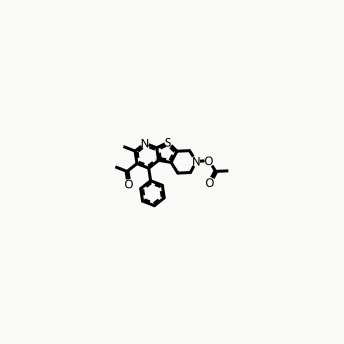 CC(=O)ON1CCc2c(sc3nc(C)c(C(C)=O)c(-c4ccccc4)c23)C1